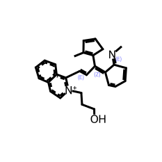 C\N=C1/C=CC=C/C1=C(\C=C\c1c2ccccc2cc[n+]1CCCO)C1=C(C)C=CC1